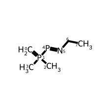 C=P(C)(C)P=NCC